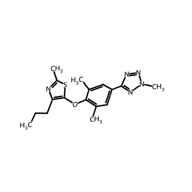 CCCc1nc(C)sc1Oc1c(C)cc(-c2nnn(C)n2)cc1C